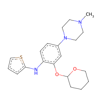 CN1CCN(c2ccc(Nc3cccs3)c(OC3CCCCO3)c2)CC1